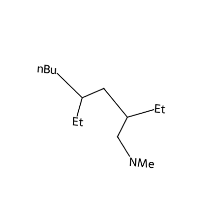 CCCCC(CC)CC(CC)CNC